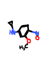 COc1cc(NC2CC2)ccc1N=O